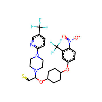 O=[N+]([O-])c1ccc(OC2CCC(OC(C=S)N3CCN(c4ccc(C(F)(F)F)cn4)CC3)CC2)cc1C(F)(F)F